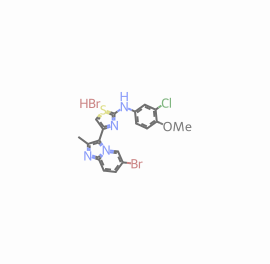 Br.COc1ccc(Nc2nc(-c3c(C)nc4ccc(Br)cn34)cs2)cc1Cl